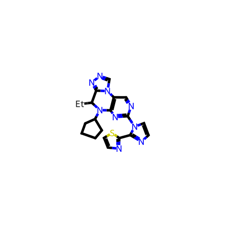 CCC1c2nncn2-c2cnc(-n3ccnc3-c3nccs3)nc2N1C1CCCC1